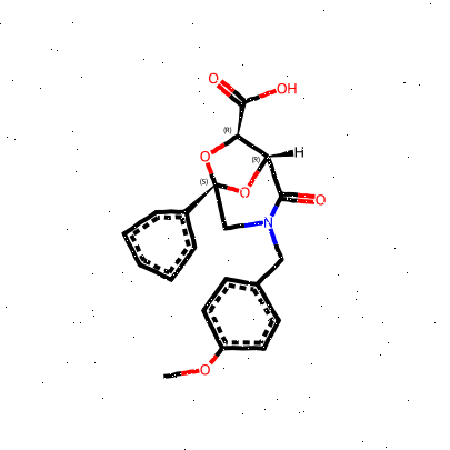 COc1ccc(CN2C[C@]3(c4ccccc4)O[C@@H](C(=O)O)[C@@H](O3)C2=O)cc1